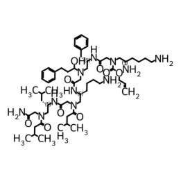 C=CCOC(=O)N(CC(=O)N[C@@H](Cc1ccccc1)CN(CC(=O)N[C@@H](CCCCN)CN(CC(=O)N[C@@H](CC(C)C)CN(CC(N)=O)C(=O)CC(C)C)C(=O)CC(C)C)C(O)CCc1ccccc1)C[C@@H](N)CCCCN